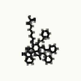 CCOC1(c2c[nH]c3ccccc23)C(O)C(OCCCCCNC(C)=O)C(OCc2ccccc2)C(OCc2ccccc2)C1OCc1ccccc1